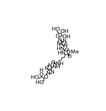 COC(=O)C(CCCCNC(=O)Nc1ncnc2c1ncn2COC(CO)C(O)CO)NC(=O)Nc1ncnc2c1ncn2C1OC(CO)C(O)C1O